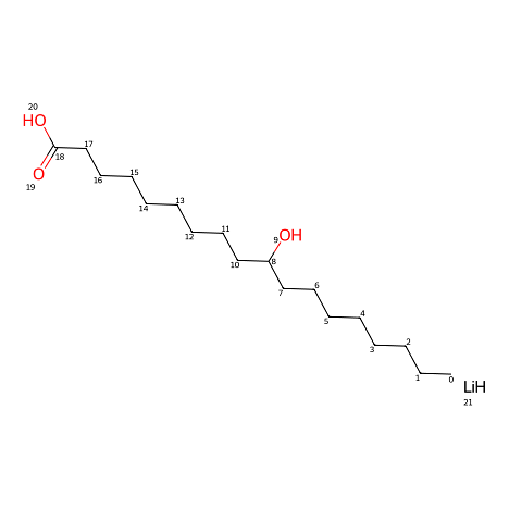 CCCCCCCCC(O)CCCCCCCCC(=O)O.[LiH]